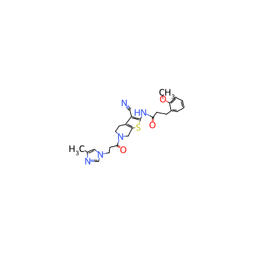 COc1ccccc1CCC(=O)Nc1sc2c(c1C#N)CCN(C(=O)CCn1cnc(C)c1)C2